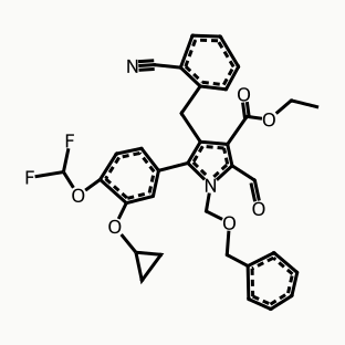 CCOC(=O)c1c(Cc2ccccc2C#N)c(-c2ccc(OC(F)F)c(OC3CC3)c2)n(COCc2ccccc2)c1C=O